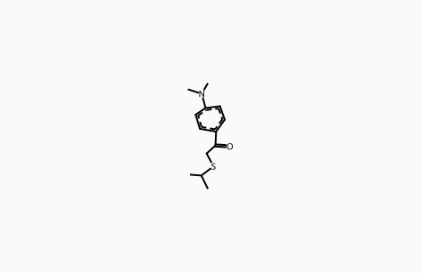 CC(C)SCC(=O)c1ccc(N(C)C)cc1